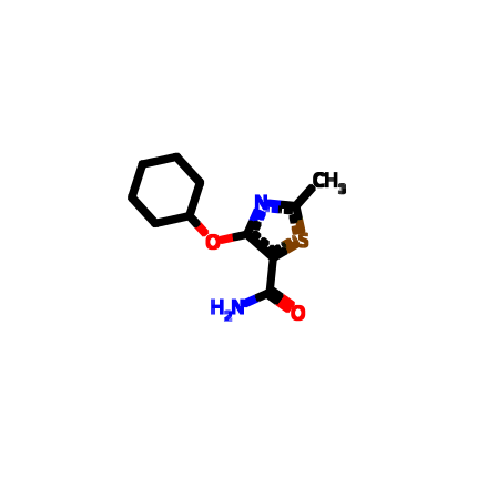 Cc1nc(OC2CCCCC2)c(C(N)=O)s1